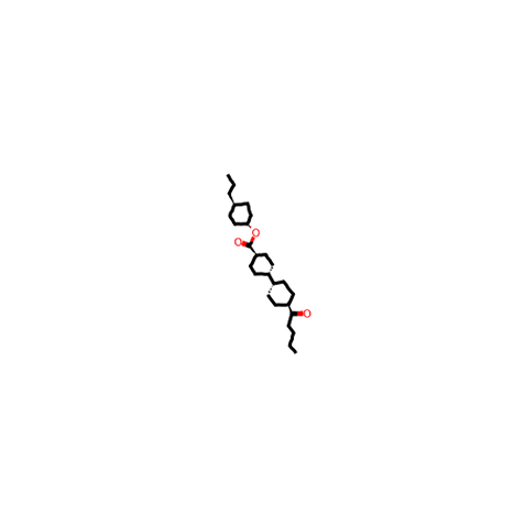 CCCCC(=O)[C@H]1CC[C@H]([C@H]2CC[C@H](C(=O)O[C@H]3CC[C@H](CCC)CC3)CC2)CC1